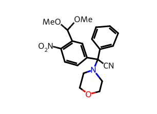 COC(OC)c1cc(C(C#N)(c2ccccc2)N2CCOCC2)ccc1[N+](=O)[O-]